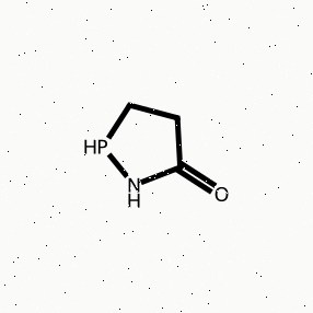 O=C1CCPN1